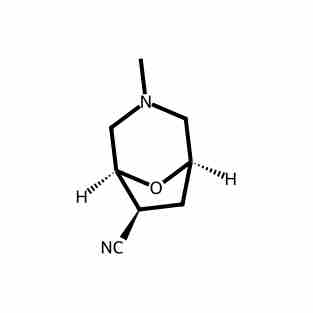 CN1C[C@H]2C[C@@H](C#N)[C@@H](C1)O2